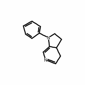 C1=NC=C2C(C1)CCN2c1ccccc1